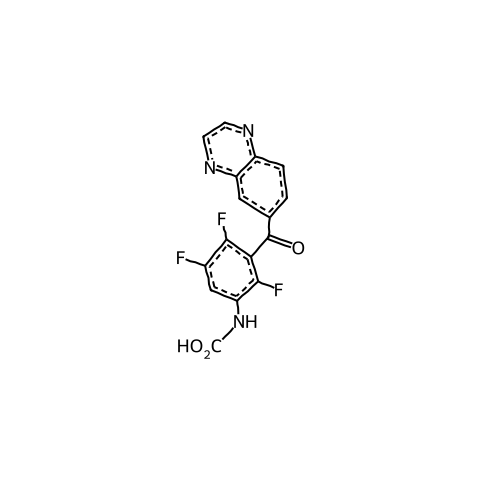 O=C(O)Nc1cc(F)c(F)c(C(=O)c2ccc3nccnc3c2)c1F